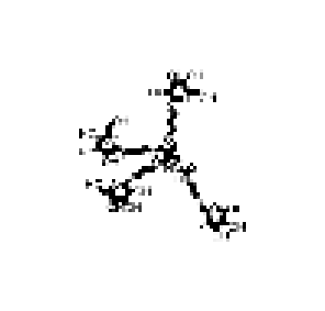 C[C@@H]1C(CSCCNC(=S)NCC(COCCCS[C@@H]2OC(CO)[C@@H](O)C(O)[C@@H]2O)(COCCCS[C@@H]2OC(CO)[C@@H](O)C(O)[C@@H]2O)COCCCS[C@@H]2OC(CO)[C@@H](O)C(O)[C@@H]2O)O[C@H](O)[C@@H](O)C1O